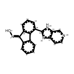 O/N=C1/c2ccccc2-c2c1cccc2-c1nc2ccncc2[nH]1